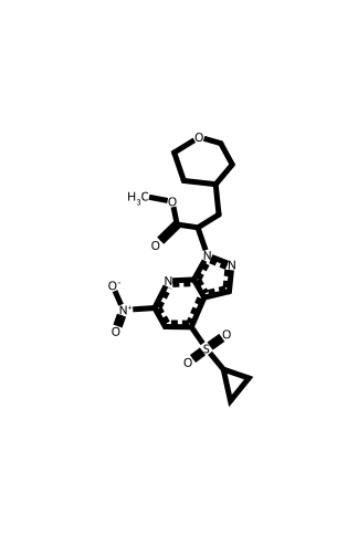 COC(=O)C(CC1CCOCC1)n1ncc2c(S(=O)(=O)C3CC3)cc([N+](=O)[O-])nc21